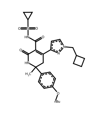 CCCCOc1ccc(C2(C)CC(c3ccn(CC4CCC4)n3)=C(C(=O)NS(=O)(=O)C3CC3)C(=O)N2)cc1